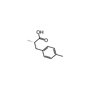 Cc1ccc(C[C@H](C)C(=O)O)cc1